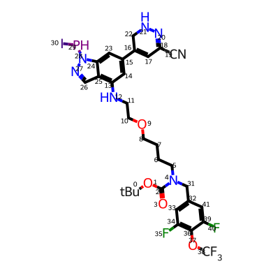 CC(C)(C)OC(=O)N(CCCCOCCNc1cc(C2=CC(C#N)=NNC2)cc2c1cnn2PI)Cc1cc(F)c(OC(F)(F)F)c(F)c1